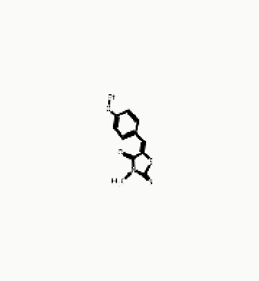 CCOc1ccc(C=C2SC(=S)N(C)C2=O)cc1